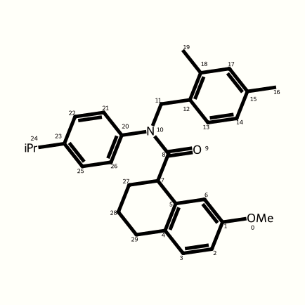 COc1ccc2c(c1)C(C(=O)N(Cc1ccc(C)cc1C)c1ccc(C(C)C)cc1)CCC2